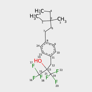 CCC(C)(CC)CCc1ccc(CC(O)(C(F)(F)F)C(F)(F)F)cc1